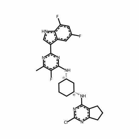 Cc1nc(-c2c[nH]c3c(F)cc(F)cc23)nc(N[C@H]2CCC[C@@H](Nc3nc(Cl)nc4c3CCC4)C2)c1F